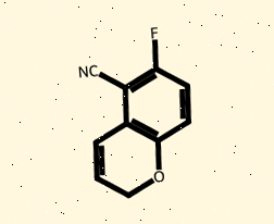 N#Cc1c(F)ccc2c1C=CCO2